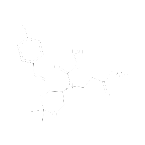 COC(=O)CCN(C(=O)OC(C)(C)C)[C@H]1COC(C)(C)O[C@@H]1/C=C/c1ccc(Cl)cc1